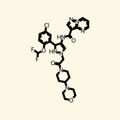 O=C(NC1=CN(CC(=O)N2CCC(N3CCOCC3)CC2)NC1c1cc(Cl)ccc1OC(F)F)c1cnn2cccnc12